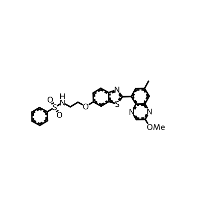 COc1cnc2c(-c3nc4ccc(OCCNS(=O)(=O)c5ccccc5)cc4s3)cc(C)cc2n1